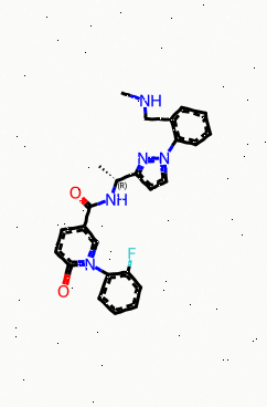 CNCc1ccccc1-n1ccc([C@@H](C)NC(=O)c2ccc(=O)n(-c3ccccc3F)c2)n1